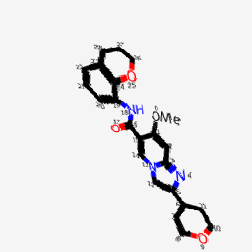 COc1cc2nc(C3CCOCC3)cn2cc1C(=O)Nc1cccc2c1OCCC2